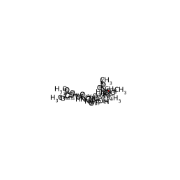 CCOC(=O)[C@H](C)NP(=O)(N[C@@H](C)C(=O)OCC)OC[C@H]1OC(n2ccc(NC(=O)OCc3cc4cc(OC)cc(OC)c4o3)nc2=O)C(F)(F)[C@@H]1O